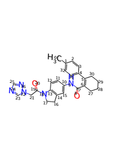 Cc1ccc(C2=C(C(=O)Nc3ccc4c(c3)CCN4C(=O)Cn3cncn3)CCCC2)cc1